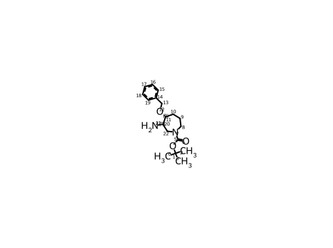 CC(C)(C)OC(=O)N1CCC[C@@H](OCc2ccccc2)[C@H](N)C1